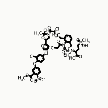 CC1(C)OC(c2ccco2)CN1C(=O)C(Cl)Cl.CCc1cccc(CC)c1N(COC)C(=O)CCl.COC(=O)c1cc(Oc2ccc(Cl)cc2Cl)ccc1[N+](=O)[O-].CP(=O)(O)CCC(N)C(=O)O